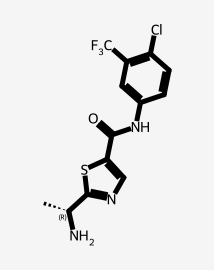 C[C@@H](N)c1ncc(C(=O)Nc2ccc(Cl)c(C(F)(F)F)c2)s1